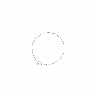 C1CCCCCCNCCCCCC1